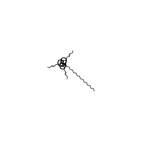 CC/C=C/CCO[Si](CCCCCCCCCCCCCCCCCC)(OCC/C=C/CC)OCC/C=C/CC